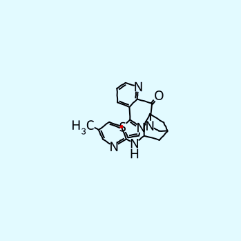 Cc1ccc(NC2CC3CCC2N(C(=O)c2ncccc2-c2nccs2)C3)nc1